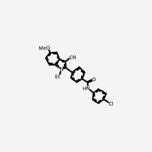 CCn1c(-c2ccc(C(=O)Nc3ccc(Cl)cc3)cc2)c(C#N)c2cc(OC)ccc21